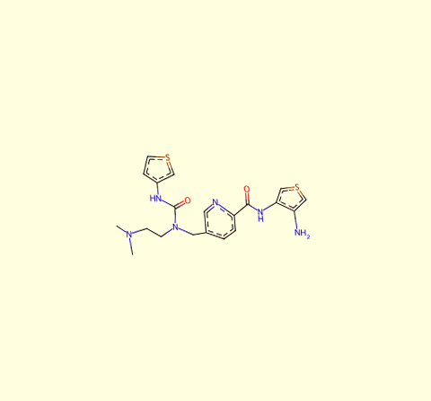 CN(C)CCN(Cc1ccc(C(=O)Nc2cscc2N)nc1)C(=O)Nc1ccsc1